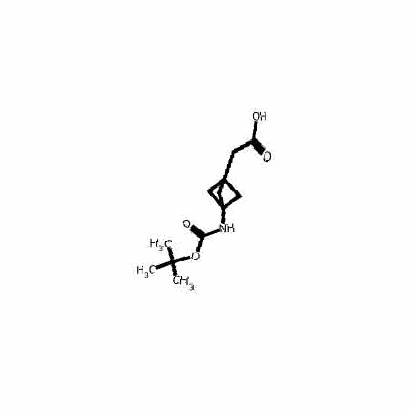 CC(C)(C)OC(=O)NC12CC(CC(=O)O)(C1)C2